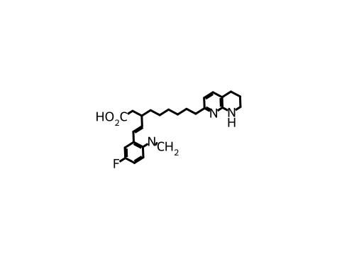 C=Nc1ccc(F)cc1/C=C/C(CCCCCCc1ccc2c(n1)NCCC2)CC(=O)O